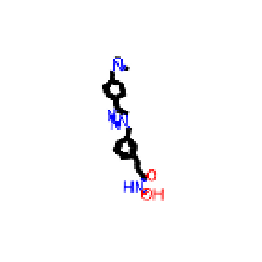 CN(C)Cc1ccc(-c2cn(Cc3cccc(/C=C/C(=O)NO)c3)nn2)cc1